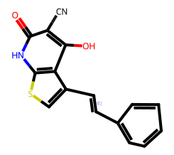 N#Cc1c(O)c2c(/C=C/c3ccccc3)csc2[nH]c1=O